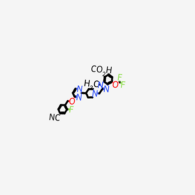 Cn1c(CN2CCC(c3nccc(OCc4ccc(C#N)cc4F)n3)CC2)nc2c(OC(F)F)cc(C(=O)O)cc21